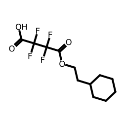 O=C(O)C(F)(F)C(F)(F)C(=O)OCCC1CCCCC1